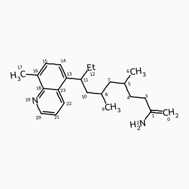 C=C(N)CCC(C)CC(C)CC(CC)c1ccc(C)c2ncccc12